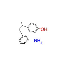 CC(Cc1ccccc1)c1ccc(O)cc1.N